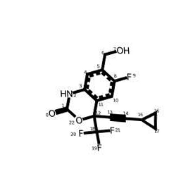 O=C1Nc2cc(CO)c(F)cc2C(C#CC2CC2)(C(F)(F)F)O1